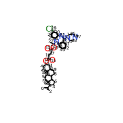 C=C(C)C1CCC2C3CC=C4CC(OC(=O)CCC(=O)OC(C)N5c6ccc(Cl)cc6N=C(N6CCN(C)CC6)c6ccccc65)CCC4(C)C3CCC12C